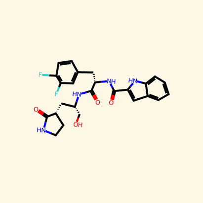 O=C(N[C@@H](Cc1ccc(F)c(F)c1)C(=O)N[C@H](CO)C[C@@H]1CCNC1=O)c1cc2ccccc2[nH]1